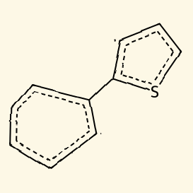 [c]1ccccc1-c1[c]ccs1